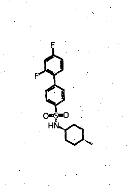 C[C@H]1CC[C@@H](NS(=O)(=O)c2ccc(-c3ccc(F)cc3F)cc2)CC1